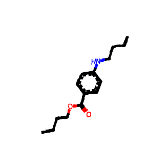 CCCCNc1ccc(C(=O)OCCCC)cc1